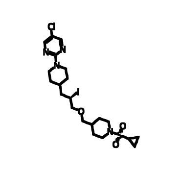 O=S(=O)(C1CC1)N1CCC(COC[C@H](I)CC2CCN(c3ncc(Cl)cn3)CC2)CC1